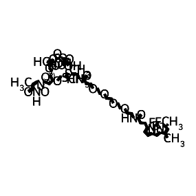 CC1=CC(C)=[N+]2C1=Cc1ccc(CCC(=O)NCCOCCOCCOCCOCCC(=O)NCC(C)(C)SSCOC3C[C@H](n4cc(C)c(=O)[nH]c4=O)O[C@@H]3COP(=O)(O)OP(=O)(O)OP(=O)(O)O)n1[B-]2(F)F